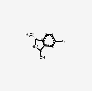 C[C@H]1NC(O)c2cc(F)ccc21